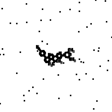 CC(C)c1c(-c2ccc(N3C[C@@H](C)O[C@@H](C)C3)nc2)cnc2c(-c3ccc(C#N)cc3)cccc12